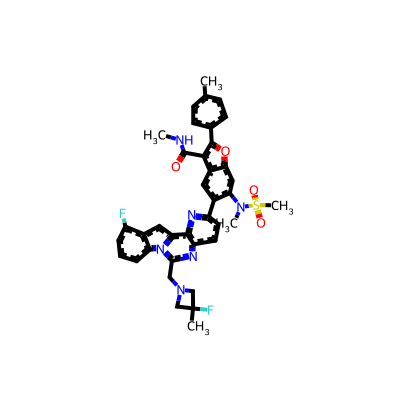 CNC(=O)c1c(-c2ccc(C)cc2)oc2cc(N(C)S(C)(=O)=O)c(-c3ccc4nc(CN5CC(C)(F)C5)n5c6cccc(F)c6cc5c4n3)cc12